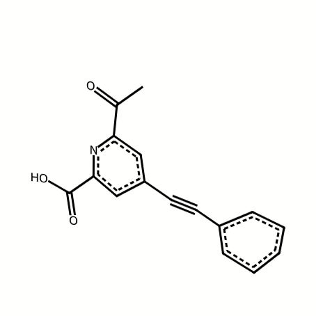 CC(=O)c1cc(C#Cc2ccccc2)cc(C(=O)O)n1